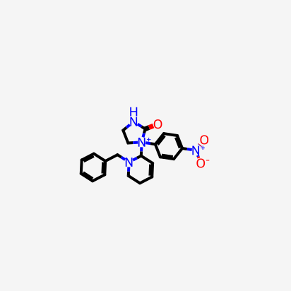 O=C1NCC[N+]1(c1ccc([N+](=O)[O-])cc1)C1C=CCCN1Cc1ccccc1